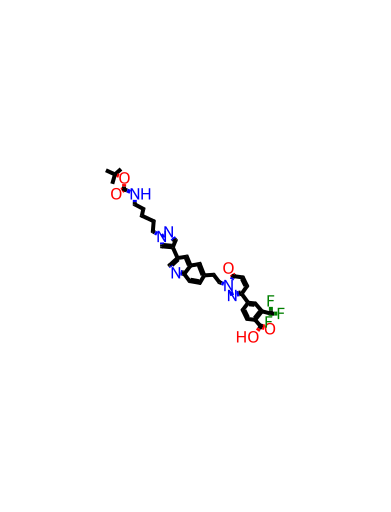 CC(C)(C)OC(=O)NCCCCCn1cc(-c2cnc3ccc(CCn4nc(-c5ccc(C(=O)O)c(C(F)(F)F)c5)ccc4=O)cc3c2)cn1